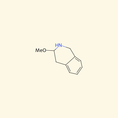 COC1Cc2ccccc2CN1